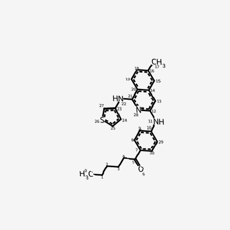 CCCCCC(=O)c1ccc(Nc2cc3cc(C)ccc3c(Nc3ccsc3)n2)cc1